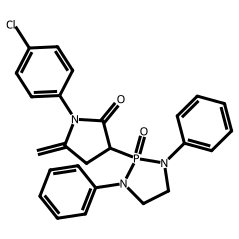 C=C1CC(P2(=O)N(c3ccccc3)CCN2c2ccccc2)C(=O)N1c1ccc(Cl)cc1